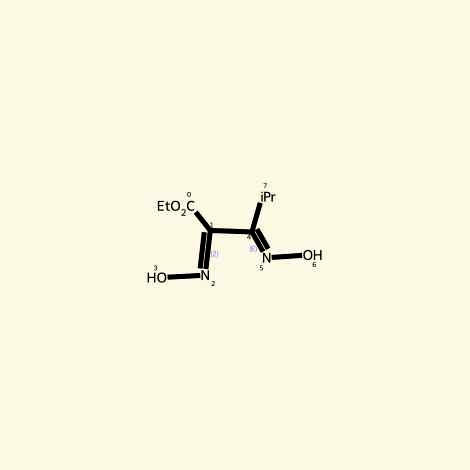 CCOC(=O)C(=N\O)/C(=N/O)C(C)C